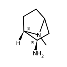 CN1C2CC[C@H]1[C@H](N)C2